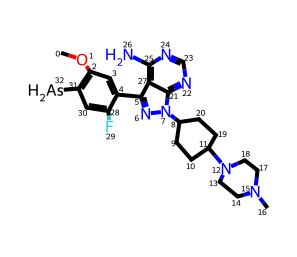 COc1cc(-c2nn(C3CCC(N4CCN(C)CC4)CC3)c3ncnc(N)c23)c(F)cc1[AsH2]